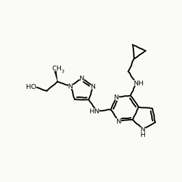 C[C@H](CO)n1cc(Nc2nc(NCC3CC3)c3cc[nH]c3n2)nn1